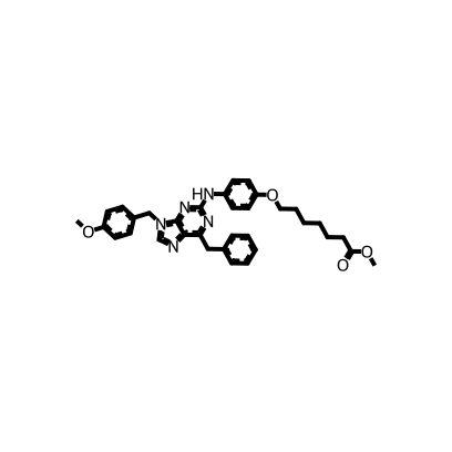 COC(=O)CCCCCCOc1ccc(Nc2nc(Cc3ccccc3)c3ncn(Cc4ccc(OC)cc4)c3n2)cc1